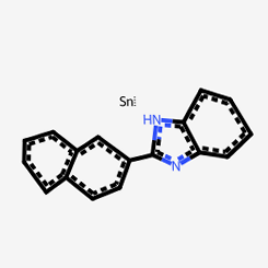 [Sn].c1ccc2cc(-c3nc4ccccc4[nH]3)ccc2c1